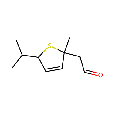 CC(C)C1C=CC(C)(CC=O)S1